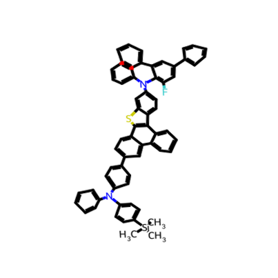 C[Si](C)(C)c1ccc(N(c2ccccc2)c2ccc(-c3ccc4c(c3)c3ccccc3c3c5ccc(N(c6ccccc6)c6c(F)cc(-c7ccccc7)cc6-c6ccccc6)cc5sc43)cc2)cc1